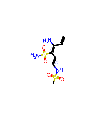 C=C/C(N)=C(\C=C\NS(C)(=O)=O)S(N)(=O)=O